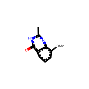 COc1cccc2c(=O)[nH]c(C)nc12